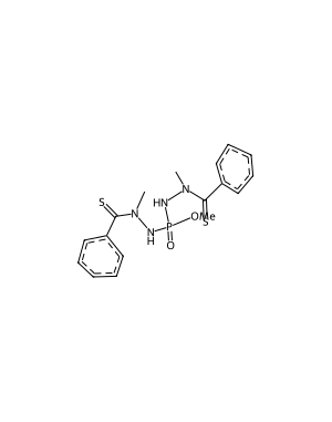 COP(=O)(NN(C)C(=S)c1ccccc1)NN(C)C(=S)c1ccccc1